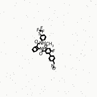 COc1cc(F)c(-c2ccc(CN=O)cc2)cc1C(=O)NC1C2C=CC(C2)C1C(=O)Nc1cccc(SC(F)(F)F)c1